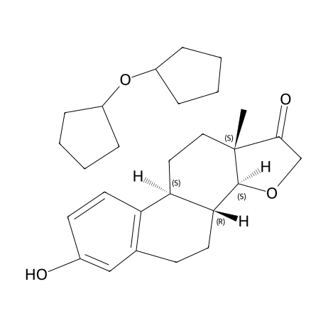 C1CCC(OC2CCCC2)C1.C[C@]12CC[C@@H]3c4ccc(O)cc4CC[C@H]3[C@@H]1OCC2=O